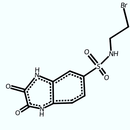 O=c1[nH]c2ccc(S(=O)(=O)NCCBr)cc2[nH]c1=O